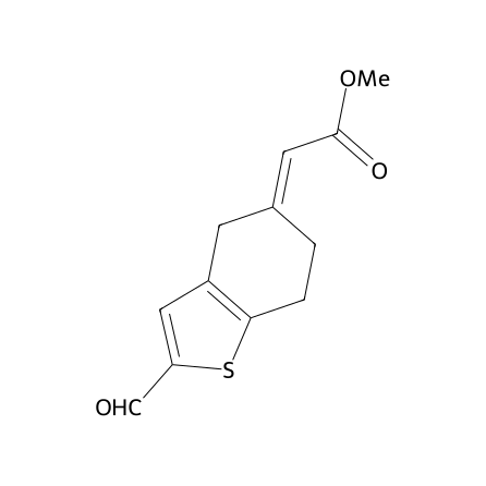 COC(=O)C=C1CCc2sc(C=O)cc2C1